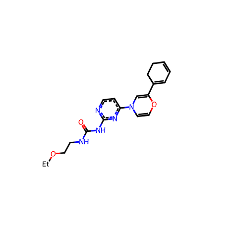 CCOCCNC(=O)Nc1nccc(N2C=COC(C3=CC=CCC3)=C2)n1